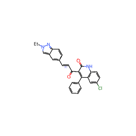 CCn1cc2cc(/C=C/C(=O)c3c(-c4ccccc4)c4cc(Cl)ccc4[nH]c3=O)ccc2n1